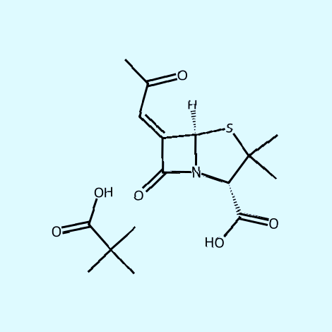 CC(=O)/C=C1/C(=O)N2[C@@H]1SC(C)(C)[C@@H]2C(=O)O.CC(C)(C)C(=O)O